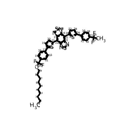 CCCCCCCCCCOC(F)(F)c1ccc(-c2ccc(-c3c4c(c(-c5ccc(-c6ccc(C(C)(F)F)cc6)s5)c5nsnc35)N=S=N4)s2)cc1